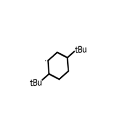 CC(C)(C)C1[CH]CC(C(C)(C)C)CC1